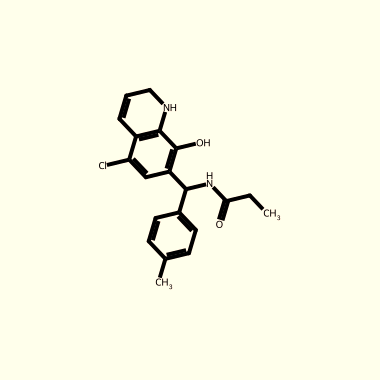 CCC(=O)NC(c1ccc(C)cc1)c1cc(Cl)c2c(c1O)NCC=C2